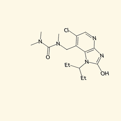 CCC(CC)n1c(O)nc2ncc(Cl)c(CN(C)C(=O)N(C)C)c21